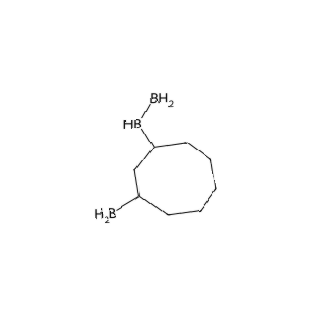 BBC1CCCCCC(B)C1